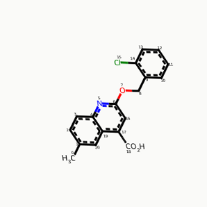 Cc1ccc2nc(OCc3ccccc3Cl)cc(C(=O)O)c2c1